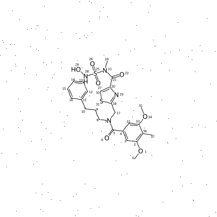 COc1cc(C(=O)N(CCCc2ccccc2)Cc2nc(C(=O)N(C)S(=O)(=O)NO)cs2)cc(OC)c1C